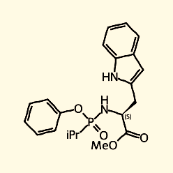 COC(=O)[C@H](Cc1cc2ccccc2[nH]1)NP(=O)(Oc1ccccc1)C(C)C